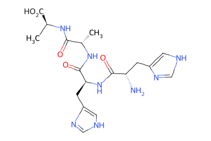 C[C@H](NC(=O)[C@H](C)NC(=O)[C@H](Cc1c[nH]cn1)NC(=O)[C@@H](N)Cc1c[nH]cn1)C(=O)O